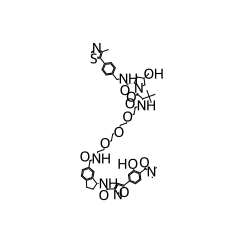 Cc1ncsc1-c1ccc(CNC(=O)[C@@H]2C[C@@H](O)CN2C(=O)[C@@H](NC(=O)COCCOCCOCCNC(=O)c2ccc3c(c2)[C@H](NC(=O)c2cc(-c4ccc(C(=O)N(C)C)c(O)c4)on2)CC3)C(C)(C)C)cc1